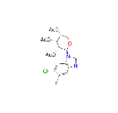 CC(=O)O[C@@H]1[C@H](OC(C)=O)[C@H](OC(C)=O)CO[C@H]1n1cnc2cc(F)c(Cl)cc21